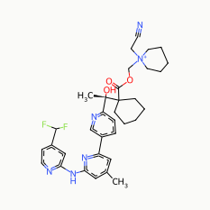 Cc1cc(Nc2cc(C(F)F)ccn2)nc(-c2ccc([C@](C)(O)C3(C(=O)OC[N+]4(CC#N)CCCCC4)CCCCC3)nc2)c1